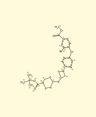 COC(=O)c1ccc(Oc2ccc(N3CC(CC4CCN(C(=O)OC(C)(C)C)CC4)C3)nc2)c(Br)c1